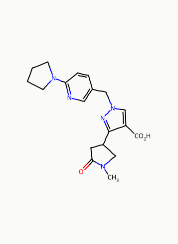 CN1CC(c2nn(Cc3ccc(N4CCCC4)nc3)cc2C(=O)O)CC1=O